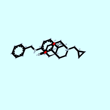 CC(=O)O[C@@]12CCC(=O)C[C@]13CCN(CC1CC1)C2Cc1ccc(OCc2ccccc2)cc13